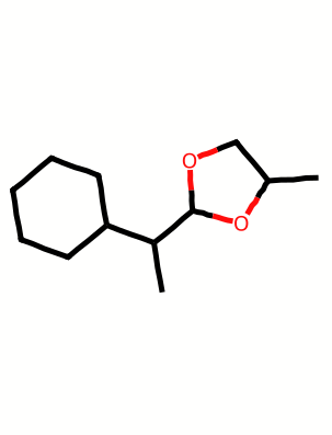 CC1COC(C(C)C2CCCCC2)O1